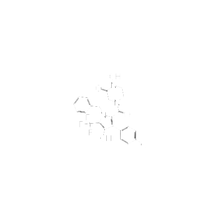 Cc1c(-c2ccc(Cl)cc2)c(C(=O)N2CCN(C)C(=O)C2)n(Cc2ccccc2)c1C(F)(F)F